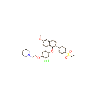 CCS(=O)(=O)c1ccc(-c2ccc3cc(OC)ccc3c2Oc2ccc(OCCN3CCCCC3)cc2)cc1.Cl